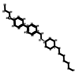 CCCCCCC[C@H]1CC[C@H](CCc2ccc(-c3ccc(OCCC)cc3)nc2)CC1